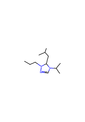 CCCN1N=CN(C(C)C)C1CC(C)C